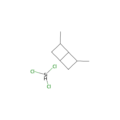 CC1CC2CC(C)C12.Cl[SiH](Cl)Cl